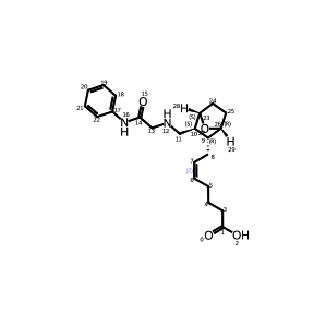 O=C(O)CCC/C=C\C[C@@H]1[C@@H](CNCC(=O)Nc2ccccc2)[C@@H]2CC[C@H]1O2